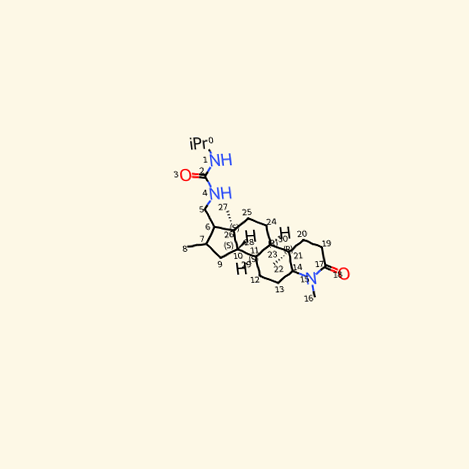 CC(C)NC(=O)NCC1C(C)C[C@H]2[C@@H]3CCC4N(C)C(=O)CC[C@]4(C)[C@@H]3CC[C@]12C